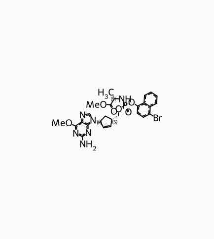 COC(=O)[C@H](C)NP(=O)(OC[C@@H]1C=C[C@H](n2cnc3c(OC)nc(N)nc32)C1)Oc1ccc(Br)c2ccccc12